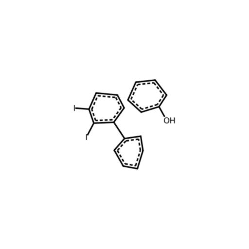 Ic1cccc(-c2ccccc2)c1I.Oc1ccccc1